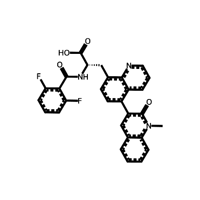 Cn1c(=O)c(-c2ccc(C[C@H](NC(=O)c3c(F)cccc3F)C(=O)O)c3ncccc23)cc2ccccc21